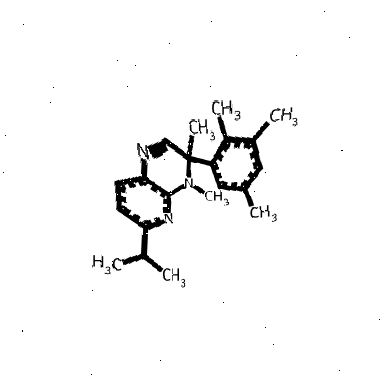 Cc1cc(C)c(C)c(C2(C)C=Nc3ccc(C(C)C)nc3N2C)c1